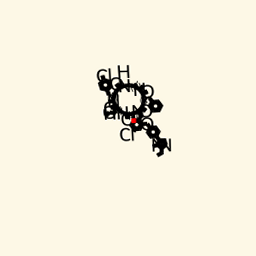 CCc1ncc(-c2ccc(Oc3cc(Cl)ccc3CN3C(=O)C[C@@H](Cc4ccccc4)C(=O)N(C)[C@@H](C)CNC(=O)C[C@H](Cc4ccc(Cl)cc4)N(C)C(=O)[C@H](COC)NC(=O)[C@@H]3C)cc2)n1C